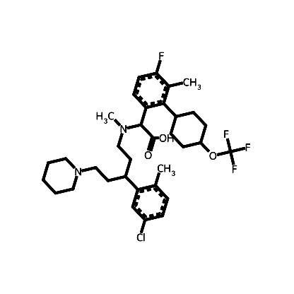 Cc1ccc(Cl)cc1C(CCN1CCCCC1)CCN(C)C(C(=O)O)c1ccc(F)c(C)c1C1CCC(OC(F)(F)F)CC1